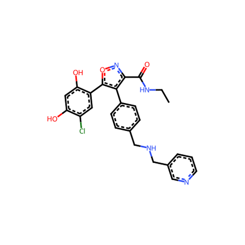 CCNC(=O)c1noc(-c2cc(Cl)c(O)cc2O)c1-c1ccc(CNCc2cccnc2)cc1